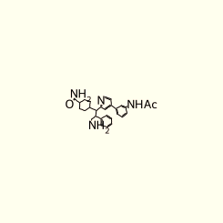 CC(=O)Nc1cccc(-c2ccnc(C(C3CCC(C(N)=O)CC3)C(CN)c3ccccc3)c2)c1